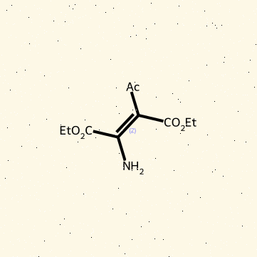 CCOC(=O)/C(N)=C(\C(C)=O)C(=O)OCC